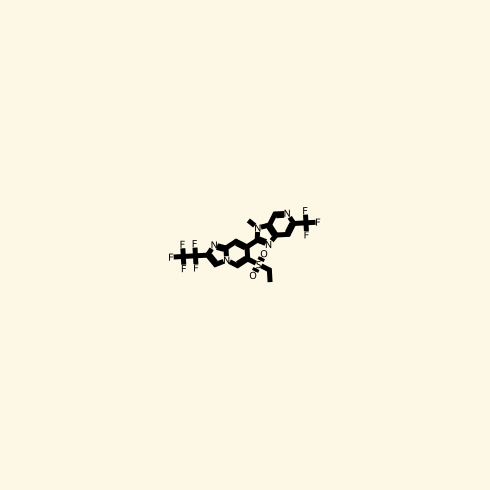 CCS(=O)(=O)c1cn2cc(C(F)(F)C(F)(F)F)nc2cc1-c1nc2cc(C(F)(F)F)ncc2n1C